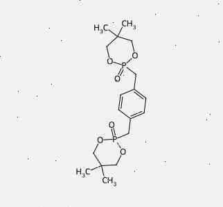 CC1(C)COP(=O)(Cc2ccc(CP3(=O)OCC(C)(C)CO3)cc2)OC1